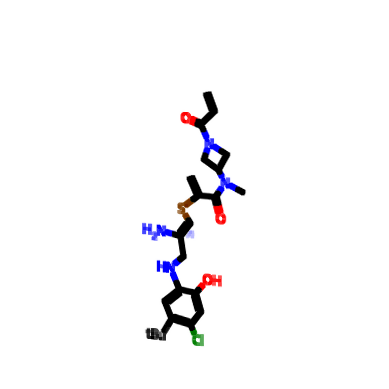 C=CC(=O)N1CC(N(C)C(=O)C(=C)S/C=C(\N)CNc2cc(C(C)(C)C)c(Cl)cc2O)C1